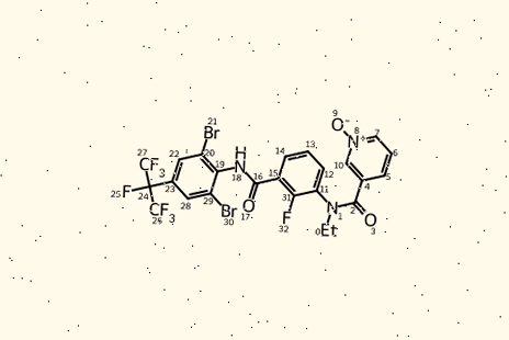 CCN(C(=O)c1ccc[n+]([O-])c1)c1cccc(C(=O)Nc2c(Br)cc(C(F)(C(F)(F)F)C(F)(F)F)cc2Br)c1F